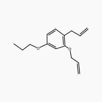 C=CCOc1cc(OCCC)ccc1CC=C